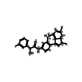 Cc1cccc(C(O)C(=O)Nc2ccc(-c3cn(C)c4nc(C)nc(N)c34)c(C)c2)c1